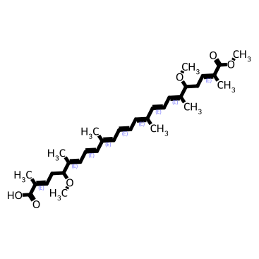 COC(=O)/C(C)=C/CC(OC)/C(C)=C/C=C/C(C)=C/C=C/C=C(C)/C=C/C=C(\C)C(C/C=C(\C)C(=O)O)OC